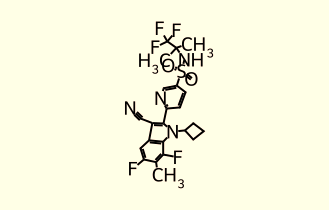 Cc1c(F)cc2c(C#N)c(-c3ccc(S(=O)(=O)NC(C)(C)C(F)(F)F)cn3)n(C3CCC3)c2c1F